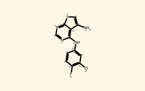 Nc1csc2ncnc(Nc3ccc(F)c(Cl)c3)c12